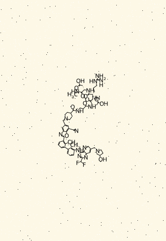 CNC(=O)[C@H](CC(=O)O)NC(=O)[C@H](CCCNC(=N)N)NC(=O)[C@H](CC(=O)O)NC(=O)CCNC(=O)C1CCN(Cc2cc(C#N)c3oc(-c4cccc(-c5cccc(Nc6nc(C(F)F)nc7cc(CN8CC[C@@H](O)C8)cnc67)c5C)c4C)nc3c2)CC1